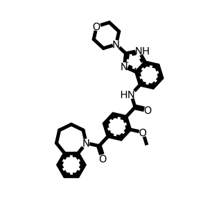 COc1cc(C(=O)N2CCCCc3ccccc32)ccc1C(=O)Nc1cccc2[nH]c(N3CCOCC3)nc12